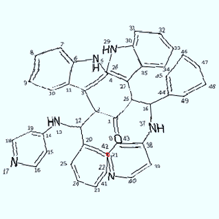 O=C(C(c1c[nH]c2ccccc12)C(Nc1ccncc1)c1ccccc1)C(c1c[nH]c2ccccc12)C(Nc1ccncc1)c1ccccc1